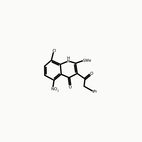 CSc1[nH]c2c(Cl)ccc([N+](=O)[O-])c2c(=O)c1C(=O)CC(C)C